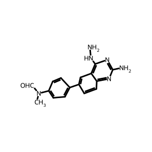 CN(C=O)c1ccc(-c2ccc3nc(N)nc(NN)c3c2)cc1